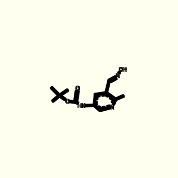 Cc1ncc(NC(=O)OC(C)(C)C)cc1C=NO